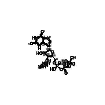 O=c1[nH]c(=O)c2ncn([C@@H]3O[C@H](COP(=O)(O)OP(=O)(O)OP(=O)(O)O)[C@@H](O)[C@H]3O)c2[nH]1.[NaH].[NaH].[NaH]